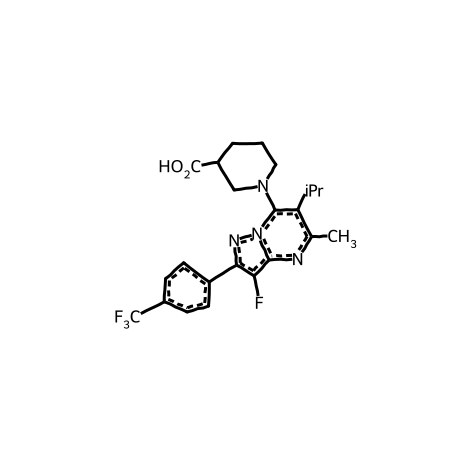 Cc1nc2c(F)c(-c3ccc(C(F)(F)F)cc3)nn2c(N2CCCC(C(=O)O)C2)c1C(C)C